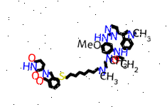 C=CC(=O)Nc1cc(Nc2nccc(-c3cn(C)c4ccccc34)n2)c(OC)cc1N(C)CCN(C)CCCCCCCCSc1cccc2c1CN(C1CCC(=O)NC1=O)C2=O